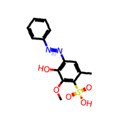 COc1c(O)c(/N=N/c2ccccc2)cc(C)c1S(=O)(=O)O